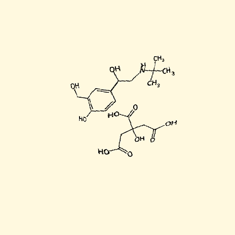 CC(C)(C)NCC(O)c1ccc(O)c(CO)c1.O=C(O)CC(O)(CC(=O)O)C(=O)O